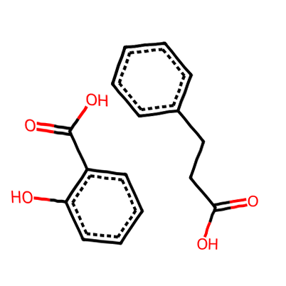 O=C(O)CCc1ccccc1.O=C(O)c1ccccc1O